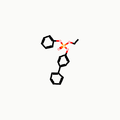 CCOP(=O)(Oc1ccccc1)Oc1ccc(-c2ccccc2)cc1